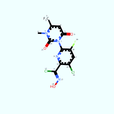 Cn1c(C(F)(F)F)cc(=O)n(-c2nc(/C(Cl)=N/O)c(Cl)cc2F)c1=O